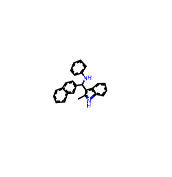 Cc1[nH]c2ccccc2c1C(Nc1ccccc1)c1ccc2ccccc2c1